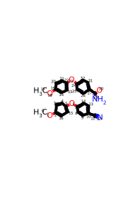 COc1ccc(Oc2ccc(C#N)cc2)cc1.COc1ccc(Oc2ccc(C(N)=O)cc2)cc1